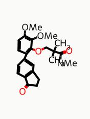 CNC(=O)C(C)(C)COc1c(-c2ccc3c(c2)CCC3=O)ccc(OC)c1OC